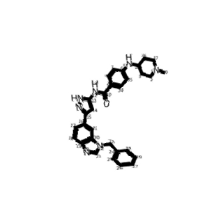 CN1CCC(Nc2ccc(C(=O)Nc3cc(-c4ccc5ncn(Cc6ccccc6)c5c4)n[nH]3)cc2)CC1